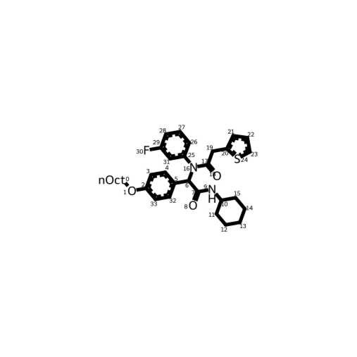 CCCCCCCCOc1ccc(C(C(=O)NC2CCCCC2)N(C(=O)Cc2cccs2)c2cccc(F)c2)cc1